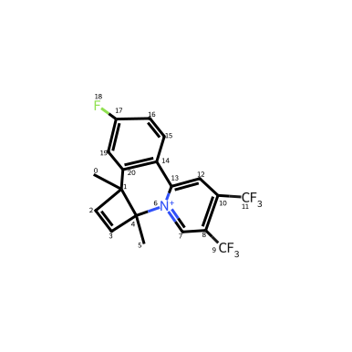 CC12C=CC1(C)[n+]1cc(C(F)(F)F)c(C(F)(F)F)cc1-c1ccc(F)cc12